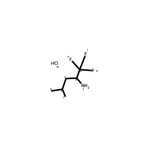 CC(C)CC(N)C(F)(F)F.Cl